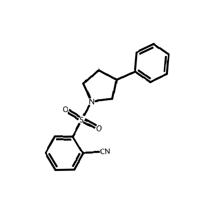 N#Cc1ccccc1S(=O)(=O)N1C[CH]C(c2ccccc2)C1